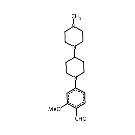 COc1cc(N2CCC(N3CCN(C)CC3)CC2)ccc1C=O